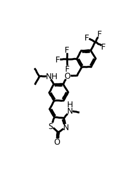 CNC1=NC(=O)SC1=Cc1ccc(OCc2ccc(C(F)(F)F)cc2C(F)(F)F)c(NC(C)C)c1